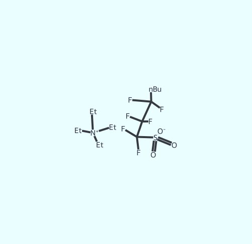 CCCCC(F)(F)C(F)(F)C(F)(F)S(=O)(=O)[O-].CC[N+](CC)(CC)CC